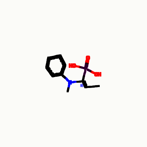 C/C=C(/N(C)c1ccccc1)P(=O)(O)O